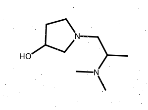 CC(CN1CCC(O)C1)N(C)C